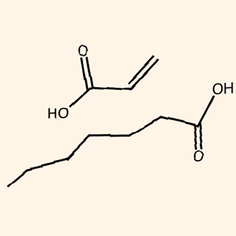 C=CC(=O)O.CCCCCCC(=O)O